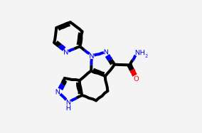 NC(=O)c1nn(-c2ccccn2)c2c1CCc1[nH]ncc1-2